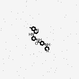 Cc1ccc2nccc(Nc3cccc(NC(=O)c4ccc(Nc5ccncc5)cc4)c3)c2c1